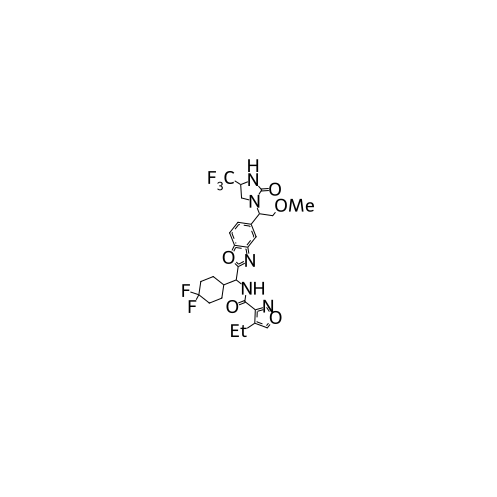 CCc1conc1C(=O)NC(c1nc2cc(C(COC)N3CC(C(F)(F)F)NC3=O)ccc2o1)C1CCC(F)(F)CC1